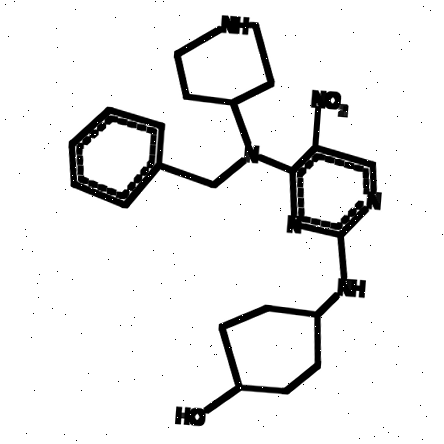 O=[N+]([O-])c1cnc(NC2CCC(O)CC2)nc1N(Cc1ccccc1)C1CCNCC1